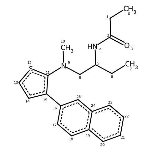 CCC(=O)NC(CC)CN(C)c1sccc1-c1ccc2ccccc2c1